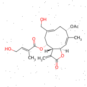 C=C1C(=O)O[C@@H]2/C=C(/C)[C@@H](OC(C)=O)C/C=C(\CO)C[C@@H](OC(=O)/C(C)=C/CO)[C@@H]12